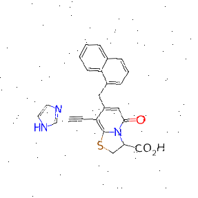 C#Cc1c(Cc2cccc3ccccc23)cc(=O)n2c1SCC2C(=O)O.c1c[nH]cn1